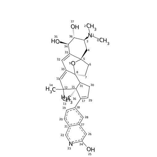 CN(C)[C@H]1C[C@@]23CC[C@@]4(O2)C(=CC(C)(C)[C@]2(C)C(c5ccc6cnc(O)cc6c5)=CCC42)C=C3[C@@H](O)[C@@H]1O